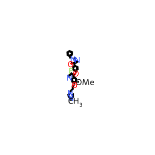 COc1cc2c(Oc3ccc(-c4cncn(Cc5ccccc5)c4=O)cc3F)ccnc2cc1OCCCN1CCN(C)CC1